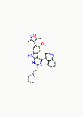 COc1cc2c(cc1-c1c(C)noc1C)[nH]c1nc(CCN3CCCCC3)nc(-c3ccnc4ccccc34)c12